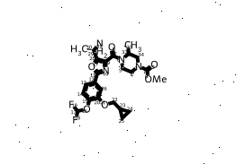 COC(=O)N1CCN(C(=O)c2nc(-c3ccc(OC(F)F)c(OCC4CC4)c3)oc2[C@H](C)N)C(C)C1